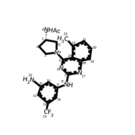 CC(=O)N[C@H]1CCN(c2nc(Nc3cc(N)cc(C(F)(F)F)c3)nc3cccc(C)c23)C1